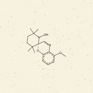 COc1cccc2c1N=C[C@]1(O2)N(O)C(C)(C)CCC1(C)C